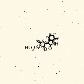 O=C(O)CN1C(=O)C(=C2C(=O)Nc3c(F)cccc32)SC1=S